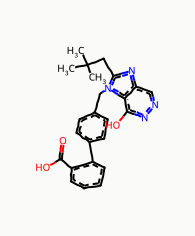 CC(C)(C)Cc1nc2cnnc(O)c2n1Cc1ccc(-c2ccccc2C(=O)O)cc1